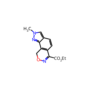 CCOC(=O)C1=NOCc2c1ccc1cn(C)nc21